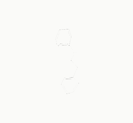 [c]1cccc(OCCc2ccccc2)n1